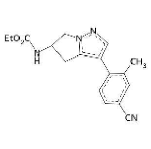 CCOC(=O)NC1Cc2c(-c3ccc(C#N)cc3C)cnn2C1